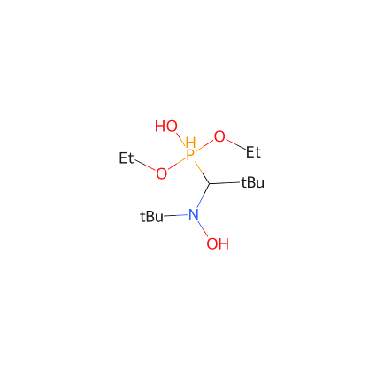 CCO[PH](O)(OCC)C(N(O)C(C)(C)C)C(C)(C)C